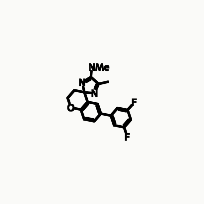 CNC1=NC2(CCOc3ccc(-c4cc(F)cc(F)c4)cc32)N=C1C